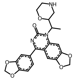 CC(C1CNCCO1)n1c(=O)nc(-c2ccc3c(c2)OCO3)c2cc3c(cc21)OCO3